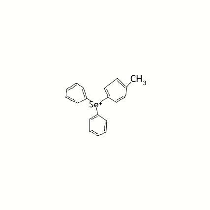 Cc1ccc([Se+](c2ccccc2)c2ccccc2)cc1